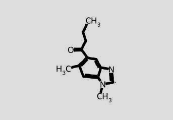 CCCC(=O)c1cc2n[c]n(C)c2cc1C